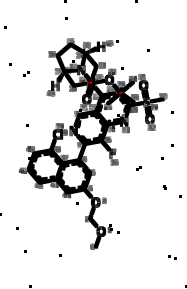 COCOc1cc(-c2ncc3c(N4C[C@H]5CC[C@@H](C4)N5C(=O)OC(C)(C)C)nc(S(C)(=O)=O)nc3c2F)c2c(Cl)cccc2c1